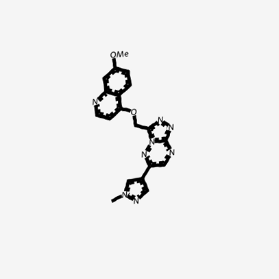 COc1ccc2c(OCc3nnc4ncc(-c5cnn(C)c5)nn34)ccnc2c1